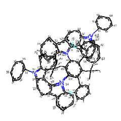 CC(C)(C)c1c(-c2ccccc2F)c(-n2c3ccccc3c3ccc4c(c5ccccc5n4-c4ccccc4)c32)c(C(C)(C)C)c(-n2c3ccccc3c3ccc4c(c5ccccc5n4-c4ccccc4)c32)c1-c1ccccc1F